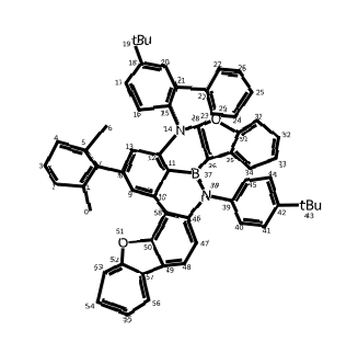 Cc1cccc(C)c1-c1cc2c3c(c1)N(c1ccc(C(C)(C)C)cc1-c1ccccc1)c1oc4ccccc4c1B3N(c1ccc(C(C)(C)C)cc1)c1ccc3c(oc4ccccc43)c1-2